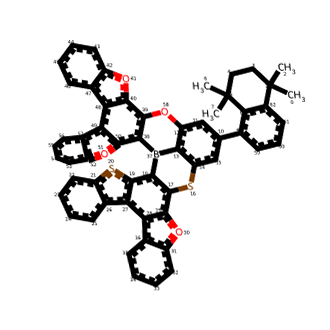 CC1(C)CCC(C)(C)c2c(-c3cc4c5c(c3)Sc3c(c6sc7ccccc7c6c6c3oc3ccccc36)B5c3c(c5oc6ccccc6c5c5c3oc3ccccc35)O4)cccc21